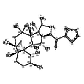 CC(C)[C@@]1(O)[C@@H](OC(=O)c2ccc[nH]2)[C@H](O)[C@@]2(O)[C@]34C[C@@](C)(CC(O)(O)[C@@]21C)[C@@]3(O)CC[C@H](C)[C@H]4O